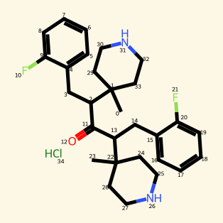 CC1(C(Cc2ccccc2F)C(=O)C(Cc2ccccc2F)C2(C)CCNCC2)CCNCC1.Cl